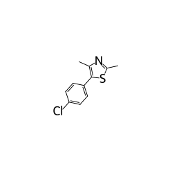 Cc1nc(C)c(-c2ccc(Cl)cc2)s1